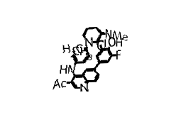 C=C(/C=C\C(=C/C)Nc1c(C(C)=O)cnc2ccc(-c3cc(F)c(O)c(Cl)c3)cc12)N1CCCC(NC)C1